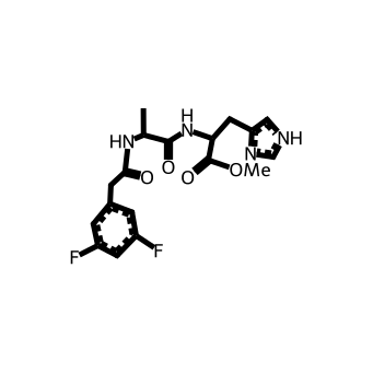 COC(=O)C(Cc1c[nH]cn1)NC(=O)C(C)NC(=O)Cc1cc(F)cc(F)c1